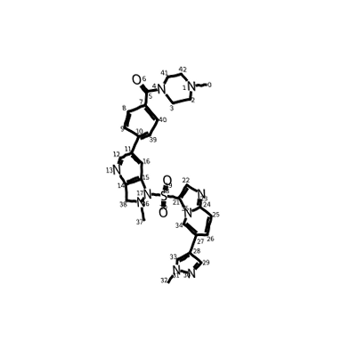 CN1CCN(C(=O)c2ccc(-c3cnc4c(c3)N(S(=O)(=O)c3cnc5ccc(-c6cnn(C)c6)cn35)N(C)C4)cc2)CC1